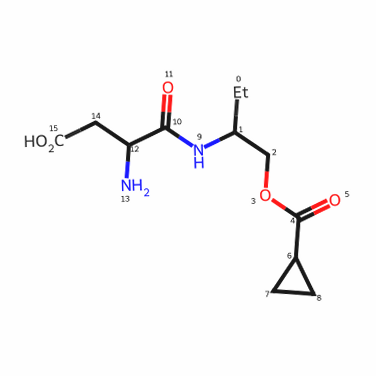 CCC(COC(=O)C1CC1)NC(=O)C(N)CC(=O)O